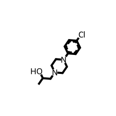 CC(O)CN1CCN(c2ccc(Cl)cc2)CC1